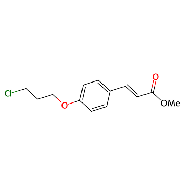 COC(=O)C=Cc1ccc(OCCCCl)cc1